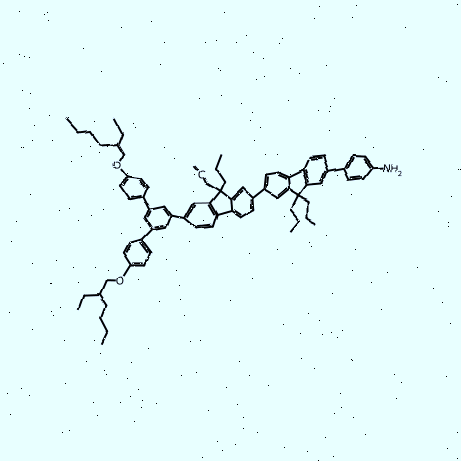 CCCCC(CC)COc1ccc(-c2cc(-c3ccc(OCC(CC)CCCC)cc3)cc(-c3ccc4c(c3)C(CCC)(CCC)c3cc(-c5ccc6c(c5)C(CCC)(CCC)c5cc(-c7ccc(N)cc7)ccc5-6)ccc3-4)c2)cc1